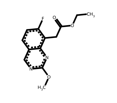 CCOC(=O)Cc1c(F)ccc2cnc(OC)nc12